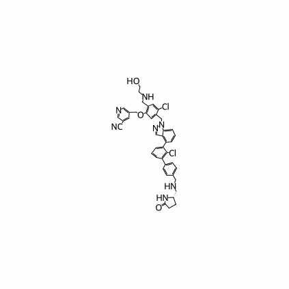 N#Cc1cncc(COc2cc(Cn3ncc4c(-c5cccc(-c6ccc(CNC[C@@H]7CCC(=O)N7)cc6)c5Cl)cccc43)c(Cl)cc2CNCCO)c1